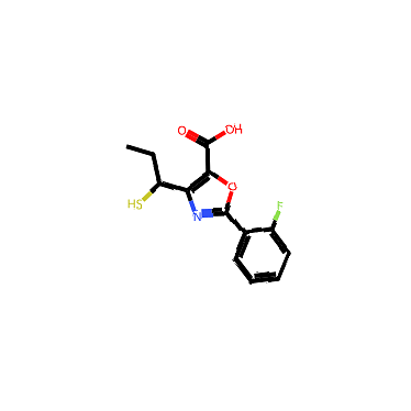 CCC(S)c1nc(-c2ccccc2F)oc1C(=O)O